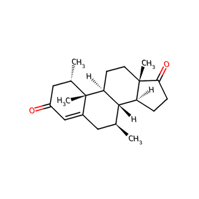 C[C@H]1CC2=CC(=O)C[C@H](C)[C@]2(C)[C@H]2CC[C@]3(C)C(=O)CC[C@H]3[C@H]12